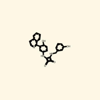 O=c1c(NCc2cccc(O)c2)c(Nc2ccc(O)c(-c3nccc4ccccc34)c2)c1=O